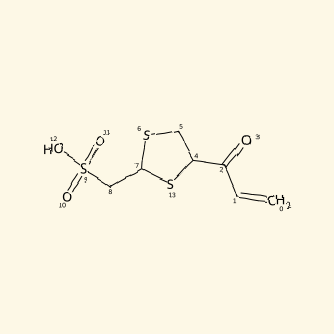 C=CC(=O)C1CSC(CS(=O)(=O)O)S1